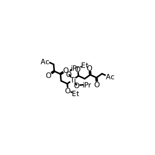 CCO[CH](CC(=O)C(=O)CC(C)=O)[Ti]([O]C(C)C)([O]C(C)C)[CH](CC(=O)C(=O)CC(C)=O)OCC